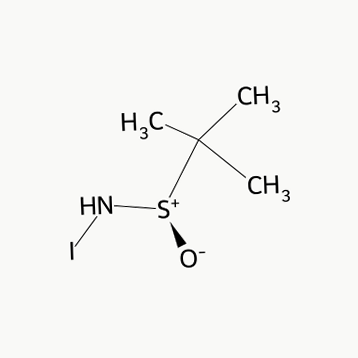 CC(C)(C)[S@@+]([O-])NI